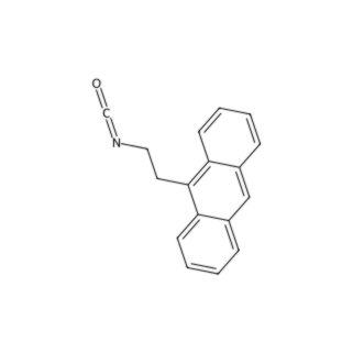 O=C=NCCc1c2ccccc2cc2ccccc12